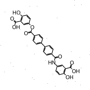 O=C(Nc1ccc(O)c(C(=O)O)c1)c1ccc(-c2ccc(C(=O)Oc3ccc(O)c(C(=O)O)c3)cc2)cc1